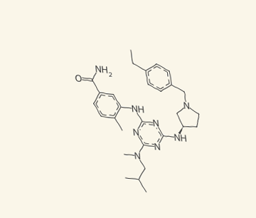 CCc1ccc(CN2CC[C@@H](Nc3nc(Nc4cc(C(N)=O)ccc4C)nc(N(C)CC(C)C)n3)C2)cc1